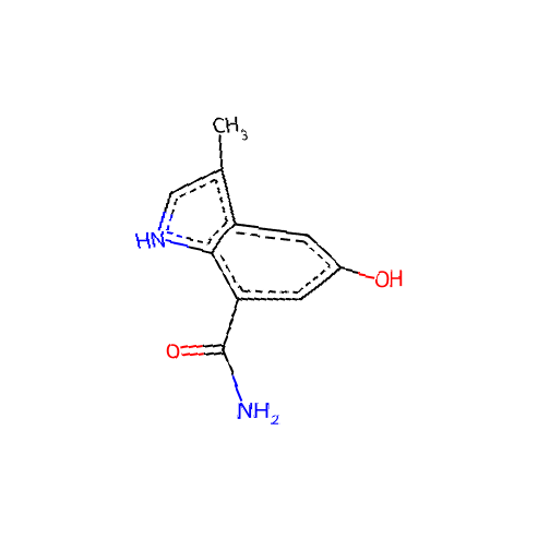 Cc1c[nH]c2c(C(N)=O)cc(O)cc12